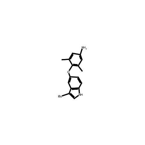 CCC(C)c1c[nH]c2ccc(Oc3c(C)cc(N)cc3C)cc12